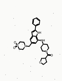 O=C(C1CCOC1)N1CCC(Nc2cc(CN3CCS(=O)(=O)CC3)cc3cc(-c4ccccc4)[nH]c23)CC1